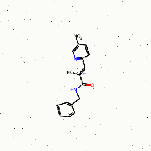 N#C/C(=C\c1ccc([N+](=O)[O-])cn1)C(=O)NCc1ccccc1